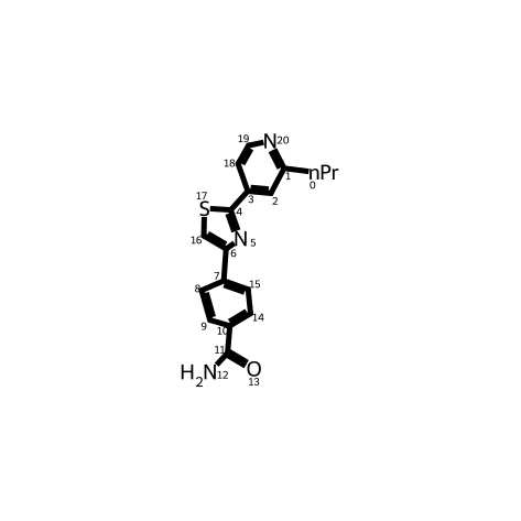 CCCc1cc(-c2nc(-c3ccc(C(N)=O)cc3)cs2)ccn1